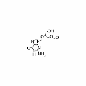 Nc1nc2c(ncn2COC(CO)COC=O)c(=O)[nH]1